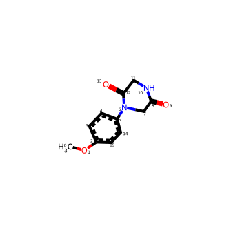 COc1ccc(N2CC(=O)NCC2=O)cc1